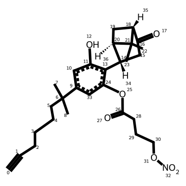 C#CCCCCC(C)(C)c1cc(O)c([C@H]2CC(=O)[C@H]3C[C@H]2C3(C)C)c(OC(=O)CCCO[N+](=O)[O-])c1